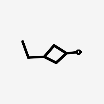 CCC1CC([O])C1